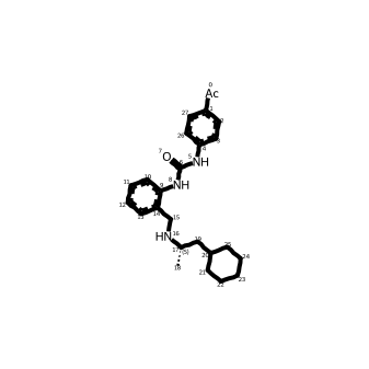 CC(=O)c1ccc(NC(=O)Nc2ccccc2CN[C@@H](C)CC2CCCCC2)cc1